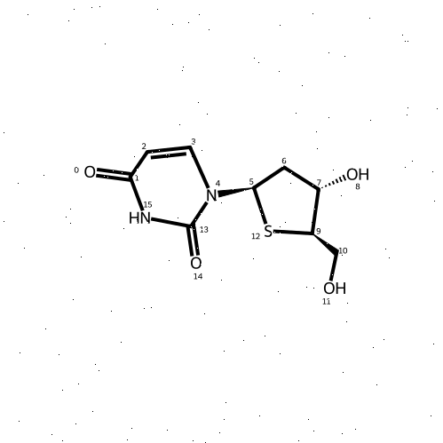 O=c1ccn([C@H]2C[C@H](O)[C@@H](CO)S2)c(=O)[nH]1